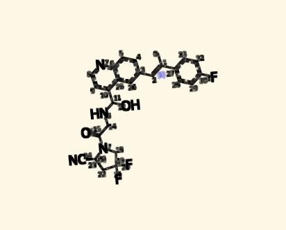 C/C(=C\c1ccc2nccc(C(O)NCC(=O)N3CC(F)(F)C[C@H]3C#N)c2c1)c1ccc(F)cc1